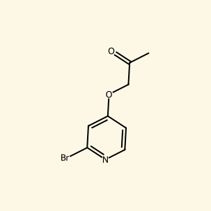 CC(=O)COc1ccnc(Br)c1